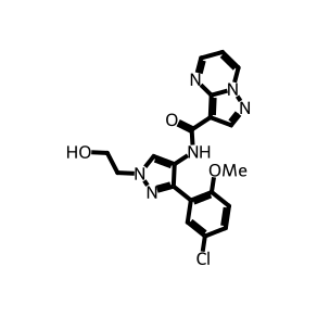 COc1ccc(Cl)cc1-c1nn(CCO)cc1NC(=O)c1cnn2cccnc12